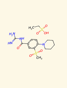 CCS(=O)(=O)O.CS(=O)(=O)c1cc(C(=O)NC(=N)N)ccc1N1CCCCC1